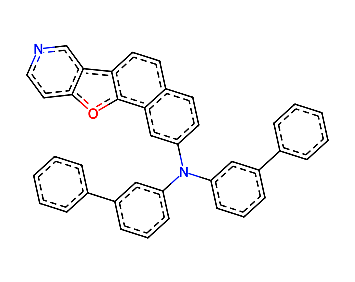 c1ccc(-c2cccc(N(c3cccc(-c4ccccc4)c3)c3ccc4ccc5c6cnccc6oc5c4c3)c2)cc1